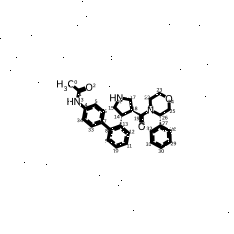 CC(=O)Nc1ccc(-c2ccccc2[C@@H]2CNC[C@H]2C(=O)N2CCOC[C@@H]2c2ccccc2)cc1